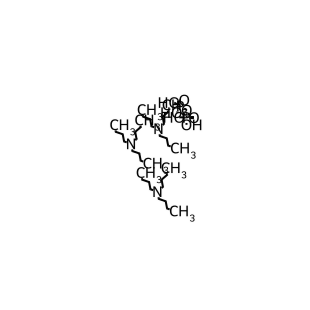 CCCCN(CCCC)CCCC.CCCCN(CCCC)CCCC.CCCCN(CCCC)CCCC.O=P(O)(O)OP(=O)(O)O